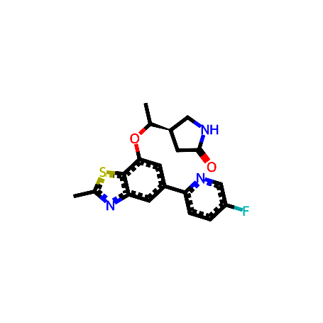 Cc1nc2cc(-c3ccc(F)cn3)cc(OC(C)[C@H]3CNC(=O)C3)c2s1